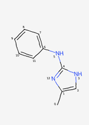 Cc1c[nH]c(Nc2ccccc2)n1